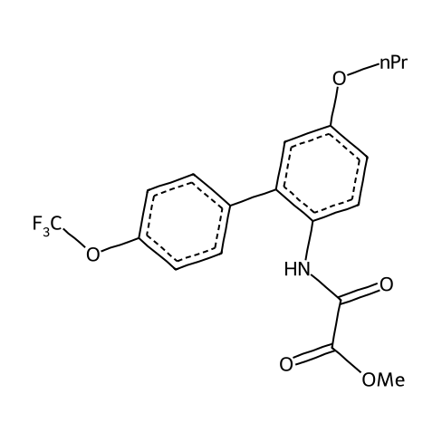 CCCOc1ccc(NC(=O)C(=O)OC)c(-c2ccc(OC(F)(F)F)cc2)c1